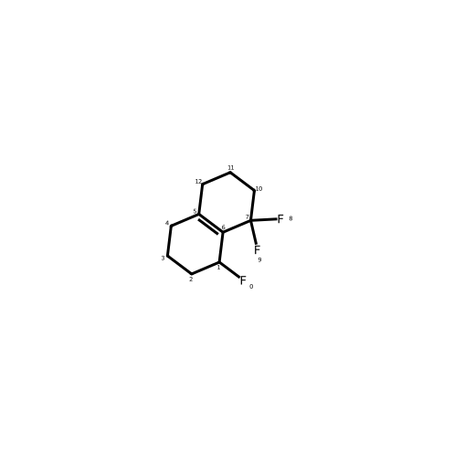 FC1CCCC2=C1C(F)(F)CCC2